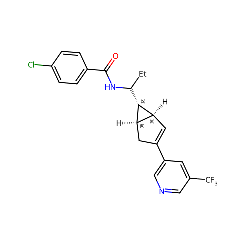 CCC(NC(=O)c1ccc(Cl)cc1)[C@@H]1[C@H]2C=C(c3cncc(C(F)(F)F)c3)C[C@H]21